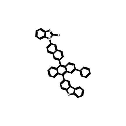 CCc1nc2ccccc2n1-c1ccc2cc(-c3c4ccccc4c(-c4ccc5oc6ccccc6c5c4)c4cc(-c5ccccc5)ccc34)ccc2c1